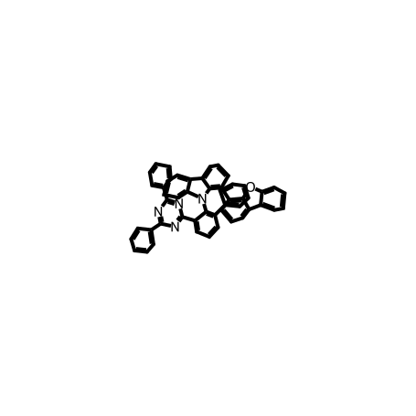 c1ccc(-c2nc(-c3ccccc3)nc(-c3cccc(-c4ccccc4)c3-n3c4ccccc4c4cccc(-c5cccc6c5oc5ccccc56)c43)n2)cc1